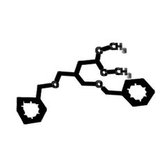 COC(CC(COCc1ccccc1)COCc1ccccc1)OC